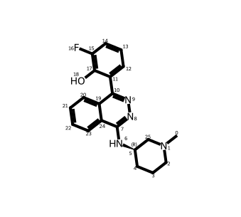 CN1CCC[C@@H](Nc2nnc(-c3cccc(F)c3O)c3ccccc23)C1